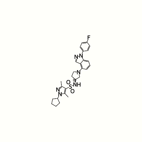 Cc1nn(C2CCCC2)c(C)c1S(=O)(=O)N[C@H]1CCN(c2cccc3c2cnn3-c2ccc(F)cc2)C1